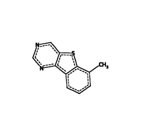 Cc1cccc2c1sc1cncnc12